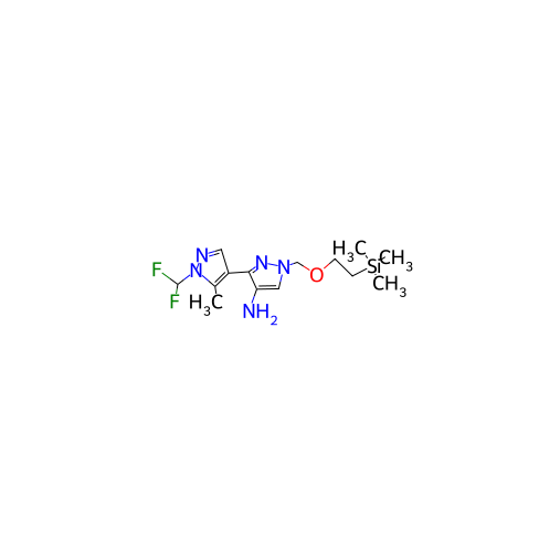 Cc1c(-c2nn(COCC[Si](C)(C)C)cc2N)cnn1C(F)F